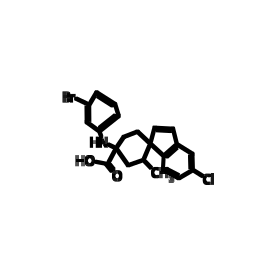 CC1CC(Nc2cccc(Br)c2)(C(=O)O)CCC12C=Cc1cc(Cl)ccc12